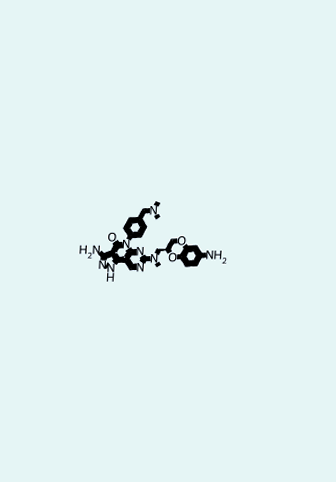 CN(C)Cc1ccc(-n2c(=O)c3c(N)n[nH]c3c3cnc(N(C)C[C@H]4COc5cc(N)ccc5O4)nc32)cc1